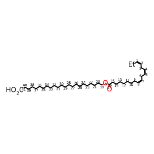 CC/C=C\C/C=C\C/C=C\CCCCCCCC(=O)OCCCCCCCCCCCCCCCCCCCCCCC(=O)O